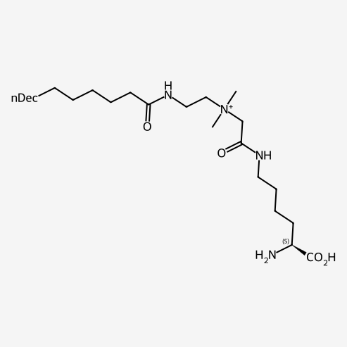 CCCCCCCCCCCCCCCC(=O)NCC[N+](C)(C)CC(=O)NCCCC[C@H](N)C(=O)O